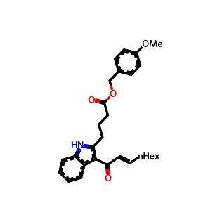 CCCCCC/C=C/C(=O)c1c(CCCC(=O)OCc2ccc(OC)cc2)[nH]c2ccccc12